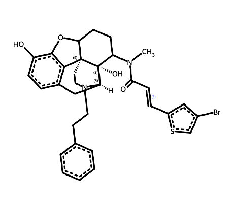 CN(C(=O)/C=C/c1cc(Br)cs1)C1CCC2Oc3c(O)ccc4c3[C@@]23CCN(CCc2ccccc2)[C@H](C4)[C@]13O